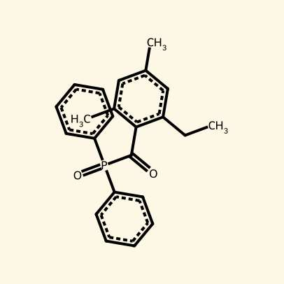 CCc1cc(C)cc(C)c1C(=O)P(=O)(c1ccccc1)c1ccccc1